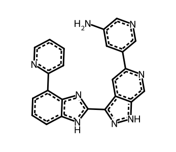 Nc1cncc(-c2cc3c(-c4nc5c(-c6ccccn6)cccc5[nH]4)n[nH]c3cn2)c1